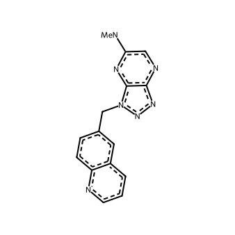 CNc1cnc2nnn(Cc3ccc4ncccc4c3)c2n1